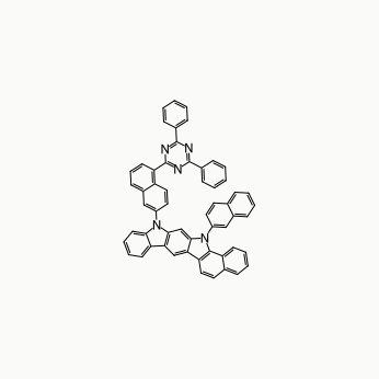 c1ccc(-c2nc(-c3ccccc3)nc(-c3cccc4cc(-n5c6ccccc6c6cc7c8ccc9ccccc9c8n(-c8ccc9ccccc9c8)c7cc65)ccc34)n2)cc1